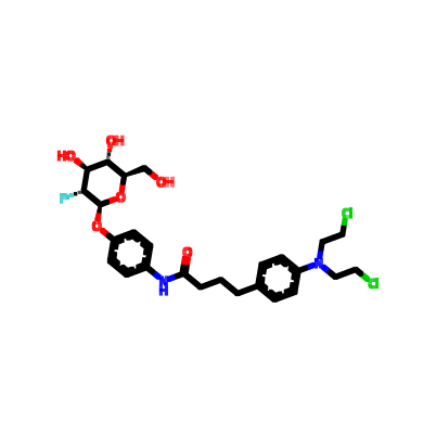 O=C(CCCc1ccc(N(CCCl)CCCl)cc1)Nc1ccc(O[C@@H]2O[C@H](CO)[C@@H](O)[C@H](O)[C@H]2F)cc1